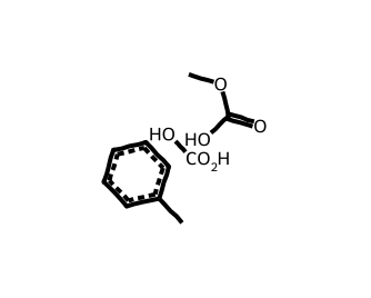 COC(=O)O.Cc1ccccc1.O=C(O)O